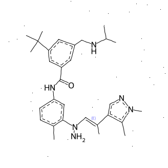 C/C(=C\N(N)c1cc(NC(=O)c2cc(CNC(C)C)cc(C(C)(C)C)c2)ccc1C)c1cnn(C)c1C